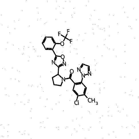 Cc1cc(-n2nccn2)c(C(=O)N2CCCC2c2noc(-c3ccccc3OC(F)(F)F)n2)cc1Cl